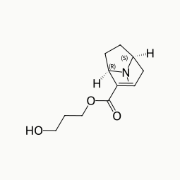 CN1[C@@H]2CC=C(C(=O)OCCCO)[C@H]1CC2